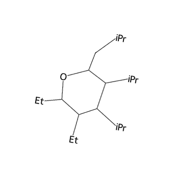 CCC1OC(CC(C)C)C(C(C)C)C(C(C)C)C1CC